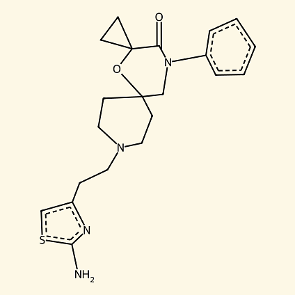 Nc1nc(CCN2CCC3(CC2)CN(c2ccccc2)C(=O)C2(CC2)O3)cs1